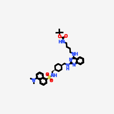 CN(C)c1cccc2c(S(=O)(=O)NC[C@H]3CC[C@H](CNc4nc(NCCCCNC(=O)OC(C)(C)C)c5ccccc5n4)CC3)cccc12